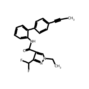 CC#Cc1ccc(-c2ccccc2NC(=O)c2cn(CC)nc2C(F)F)cc1